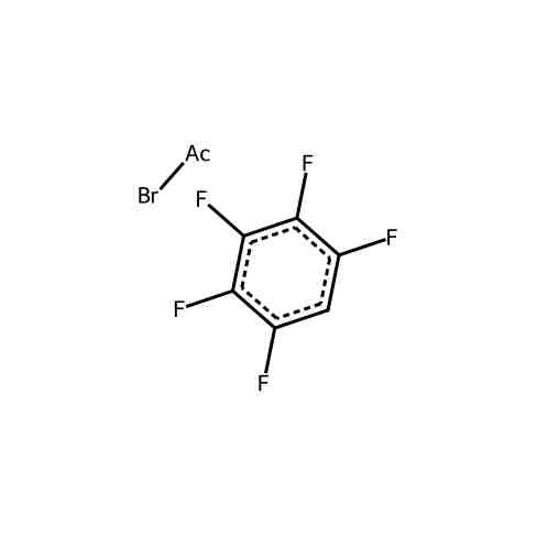 CC(=O)Br.Fc1cc(F)c(F)c(F)c1F